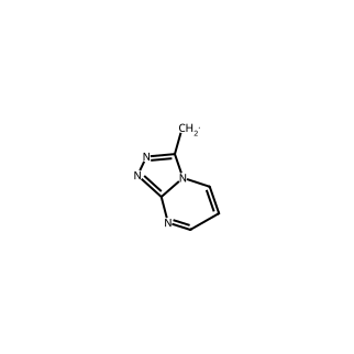 [CH2]c1nnc2ncccn12